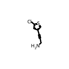 NCC#Cc1csc(Cl)c1